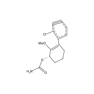 COC1=C(c2ccc#cc2Cl)CCC[C@@H]1OC(N)=O